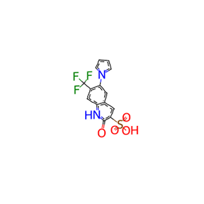 O=c1[nH]c2cc(C(F)(F)F)c(-n3cccc3)cc2cc1S(=O)(=O)O